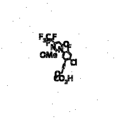 COc1nc(C(F)(F)C(F)(F)F)cc(=O)n1-c1cc(C#CCOC(=O)O)c(Cl)cc1F